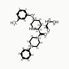 Cc1cccc(O[C@@H]2CN[C@H](C(=O)N3CCN(c4ccccc4)CC3)[C@@H](C(=O)NO)C2)c1